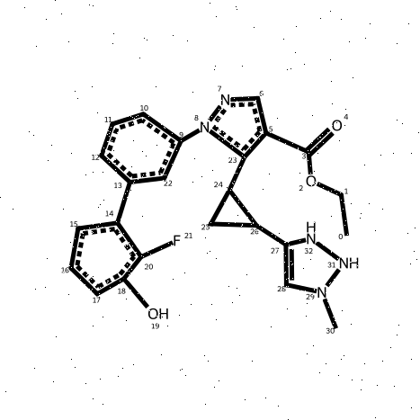 CCOC(=O)c1cnn(-c2cccc(-c3cccc(O)c3F)c2)c1C1CC1C1=CN(C)NN1